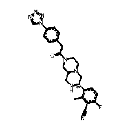 Cc1c([C@@H]2CN3CCN(C(=O)Cc4ccc(-n5cnnn5)cc4)CC3CN2)ccc(F)c1C#N